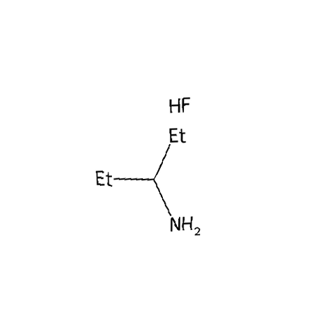 CCC(N)CC.F